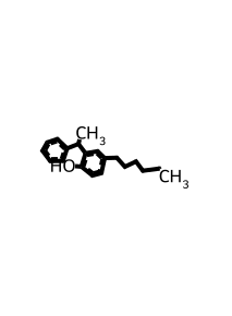 CCCCCCc1ccc(O)c(C(C)c2ccccc2)c1